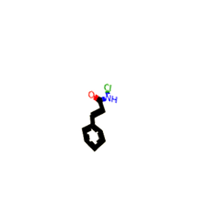 O=C(C=Cc1ccccc1)NCl